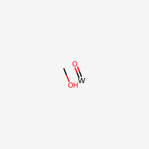 CO.[O]=[W]